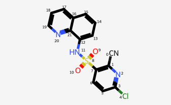 N#Cc1nc(Cl)ccc1S(=O)(=O)Nc1cccc2cccnc12